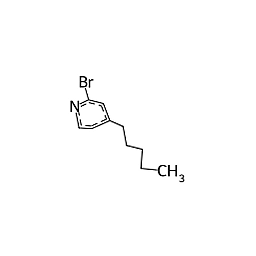 CCCCCc1ccnc(Br)c1